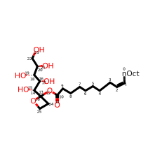 CCCCCCCC/C=C\CCCCCCCC(=O)OC1([C@H](O)[C@@H](O)[C@H](O)[C@H](O)CO)CCO1